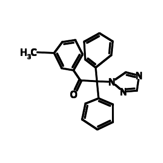 Cc1cccc(C(=O)C(c2ccccc2)(c2ccccc2)n2cncn2)c1